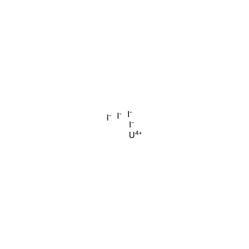 [I-].[I-].[I-].[I-].[U+4]